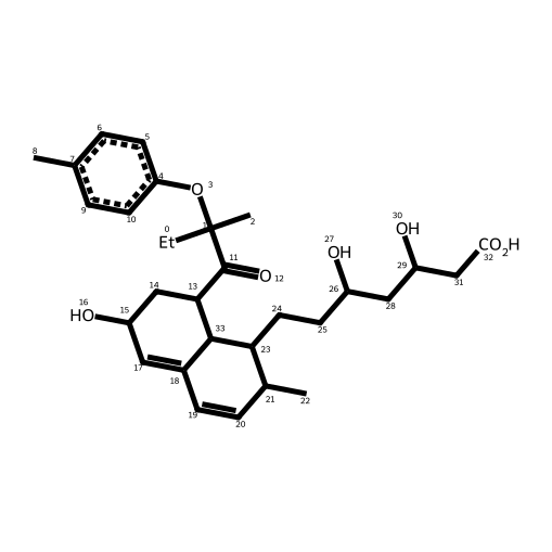 CCC(C)(Oc1ccc(C)cc1)C(=O)C1CC(O)C=C2C=CC(C)C(CCC(O)CC(O)CC(=O)O)C21